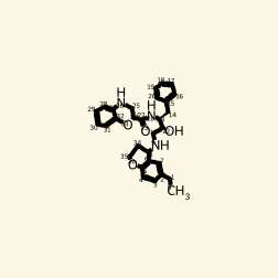 CCc1ccc2c(c1)C(NC[C@@H](O)[C@H](Cc1ccccc1)NC(=O)C1CNc3ccccc3O1)CCO2